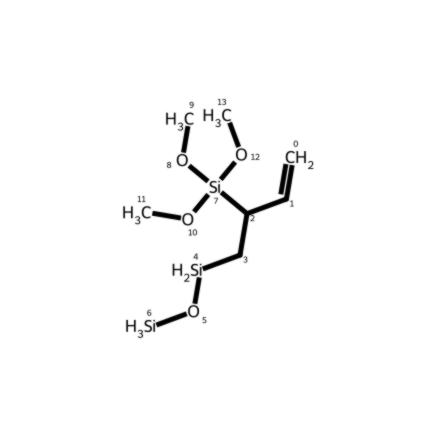 C=CC(C[SiH2]O[SiH3])[Si](OC)(OC)OC